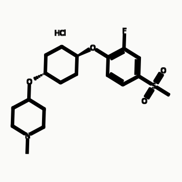 CN1CCC(O[C@H]2CC[C@H](Oc3ccc(S(C)(=O)=O)cc3F)CC2)CC1.Cl